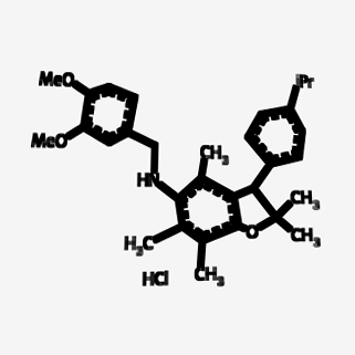 COc1ccc(CNc2c(C)c(C)c3c(c2C)C(c2ccc(C(C)C)cc2)C(C)(C)O3)cc1OC.Cl